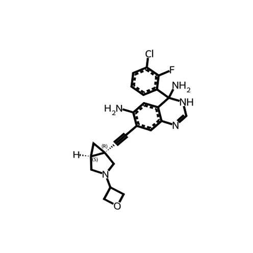 Nc1cc2c(cc1C#C[C@@]13C[C@@H]1CN(C1COC1)C3)N=CNC2(N)c1cccc(Cl)c1F